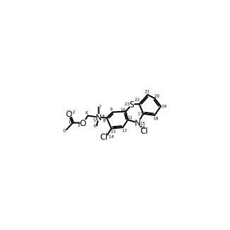 CC(=O)OC[N+](C)(C)c1cc2c(cc1Cl)N(Cl)c1ccccc1S2